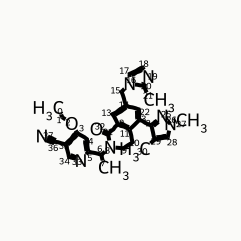 CCOc1cc(C(C)N2CCc3c(cc(Cn4ccnc4C)cc3-c3nn(C)cc3C)C2=O)ncc1C#N